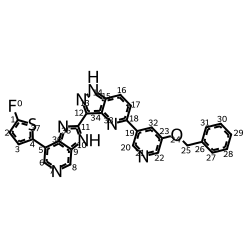 Fc1ccc(-c2cncc3[nH]c(-c4n[nH]c5ccc(-c6cncc(OCc7ccccc7)c6)nc45)nc23)s1